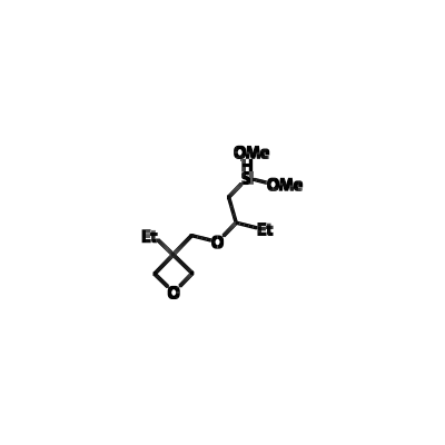 CCC(C[SiH](OC)OC)OCC1(CC)COC1